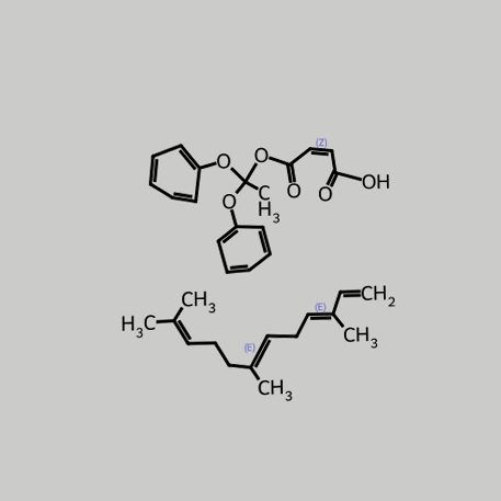 C=C/C(C)=C/C/C=C(\C)CCC=C(C)C.CC(OC(=O)/C=C\C(=O)O)(Oc1ccccc1)Oc1ccccc1